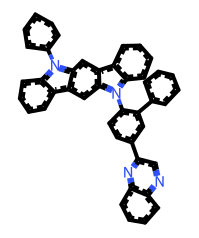 c1ccc(-c2cc(-c3cnc4ccccc4n3)ccc2-n2c3ccccc3c3cc4c(cc32)c2ccccc2n4-c2ccccc2)cc1